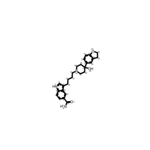 NC(=O)c1ccc2[nH]cc(CCCCN3CCC(O)(c4ccc5c(c4)CCO5)CC3)c2c1